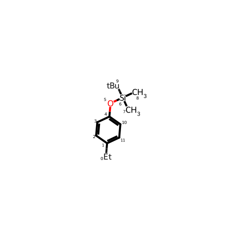 CCc1ccc(O[Si](C)(C)C(C)(C)C)cc1